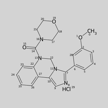 COc1cccc(-c2ncc3n2CN(C(=O)N2CCOCC2)c2ccccc2-3)c1.Cl